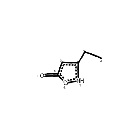 CCc1cc(=O)o[nH]1